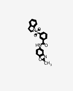 Cc1nc2cc(NC(=O)c3cccc(S(=O)(=O)N4CCc5ccccc54)c3)ccc2o1